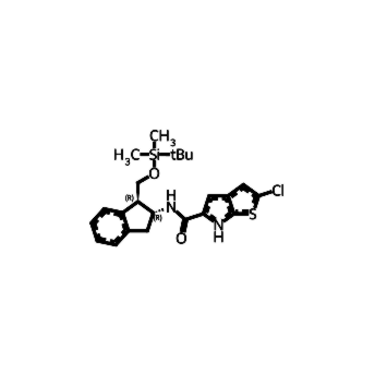 CC(C)(C)[Si](C)(C)OC[C@@H]1c2ccccc2C[C@H]1NC(=O)c1cc2cc(Cl)sc2[nH]1